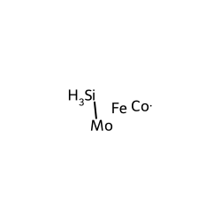 [Co].[Fe].[SiH3][Mo]